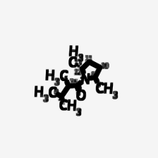 CC(C)C(C)C(=O)N1C(C)CC[C@H]1C